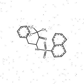 CC(C)(C)C(=O)C(Cc1ccccc1)NS(=O)(=O)c1cccc2ccccc12